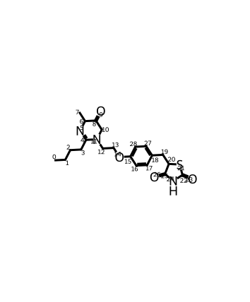 CCCCC1=NC(C)C(=O)CN1CCOc1ccc(CC2SC(=O)NC2=O)cc1